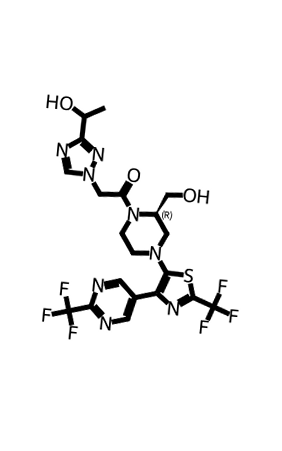 CC(O)c1ncn(CC(=O)N2CCN(c3sc(C(F)(F)F)nc3-c3cnc(C(F)(F)F)nc3)C[C@@H]2CO)n1